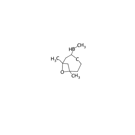 CBC1CCCC2(C)CC(C)(C1)O2